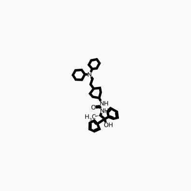 C[C@H](NC(=O)NC1CCC(CCN(C2CCCCC2)C2CCCCC2)CC1)C(O)(c1ccccc1)c1ccccc1